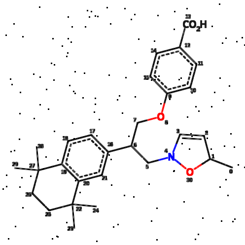 CC1C=CN(CC(COc2ccc(C(=O)O)cc2)c2ccc3c(c2)C(C)(C)CCC3(C)C)O1